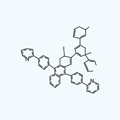 C/C=C\C(=C/C)C1(C)C=C(C2=Cc3c(c(-c4ccc(-c5ccccn5)cc4)c4ccccc4c3-c3ccc(-c4ccccn4)cc3)CC2I)C=C(C2=CC(C)CC=C2)C1